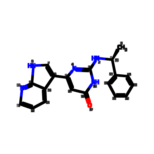 C[C@H](Nc1nc(-c2c[nH]c3ncccc23)cc(=O)[nH]1)c1ccccc1